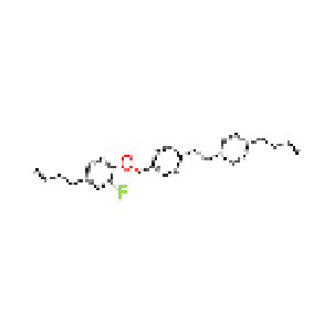 C=CCCc1ccc(CCc2ccc(COc3ccc(CCC=C)cc3F)cc2)cc1